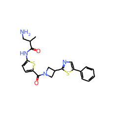 CC(CN)C(=O)Nc1ccc(C(=O)N2CC(c3ncc(-c4ccccc4)s3)C2)s1